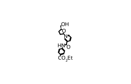 CCOC(=O)c1ccc(NC(=O)c2ccc[n+]([C@H]3CC[C@@H](CO)O3)c2)cc1